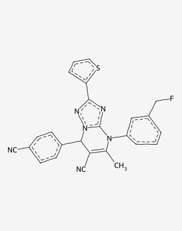 CC1=C(C#N)C(c2ccc(C#N)cc2)n2nc(-c3cccs3)nc2N1c1cccc(CF)c1